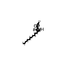 CCCCCCCCCCCCc1c[nH]c(C(=O)OCC)c1F